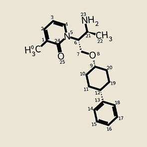 Cc1cccn([C@@H](CO[C@H]2CC[C@@H](c3ccccc3)CC2)[C@H](C)N)c1=O